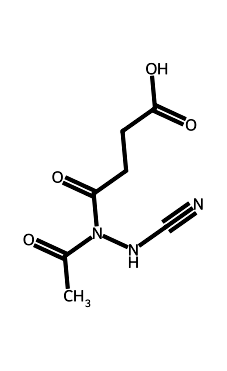 CC(=O)N(NC#N)C(=O)CCC(=O)O